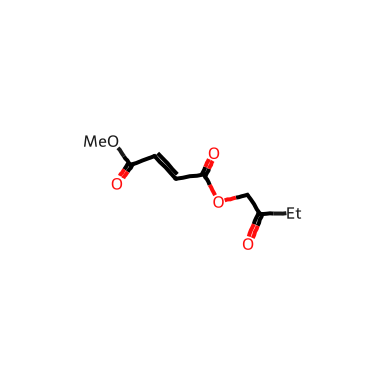 CCC(=O)COC(=O)/C=C/C(=O)OC